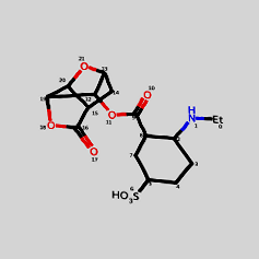 CCNC1CCC(S(=O)(=O)O)CC1C(=O)OC1C2CC3C(=O)OC1C3O2